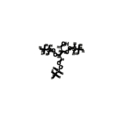 CC(C)(C)[Si](C)(C)OOC[C@H](OO[Si](C)(C)C(C)(C)C)[C@H](CO)OO[Si](C)(C)C(C)(C)C